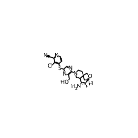 C[C@H]1[C@H](N)C2CN(c3ncc(Sc4ccnc(C#N)c4Cl)nc3CO)CCC23CO[C@@H]1C3